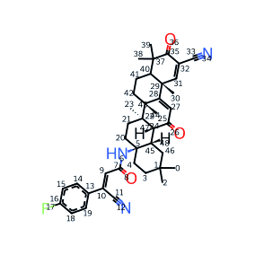 CC1(C)CC[C@]2(NC(=O)/C=C(\C#N)c3ccc(F)cc3)CC[C@]3(C)[C@H](C(=O)C=C4[C@@]5(C)C=C(C#N)C(=O)C(C)(C)C5CC[C@]43C)[C@@H]2C1